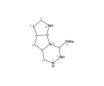 COC1NNCC2CC3SCNC3N21